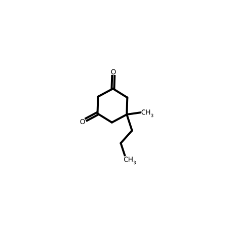 CCCC1(C)CC(=O)CC(=O)C1